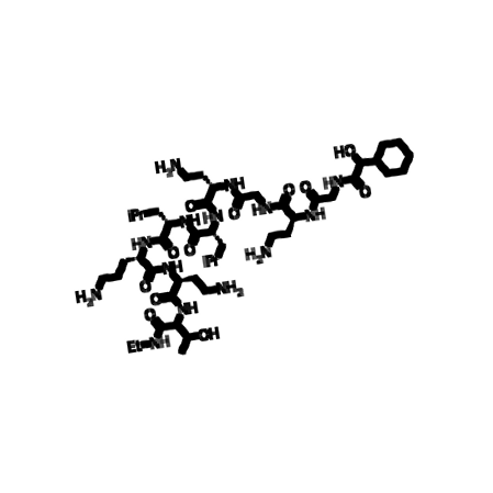 CCNC(=O)C(NC(=O)[C@H](CCN)NC(=O)[C@H](CCCN)NC(=O)[C@H](CC(C)C)NC(=O)[C@@H](CC(C)C)NC(=O)[C@H](CCN)NC(=O)CNC(=O)[C@H](CCN)NC(=O)CNC(=O)C(O)C1CCCCC1)C(C)O